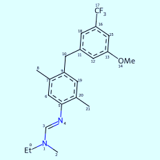 CCN(C)/C=N/c1cc(C)c(Cc2cc(OC)cc(C(F)(F)F)c2)cc1C